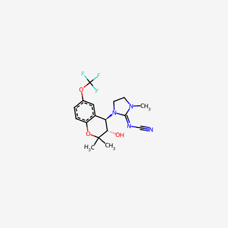 CN1CCN([C@@H]2c3cc(OC(F)(F)F)ccc3OC(C)(C)[C@H]2O)C1=NC#N